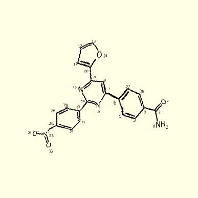 NC(=O)c1ccc(-c2cc(-c3ccco3)nc(-c3ccc([N+](=O)[O-])cc3)n2)cc1